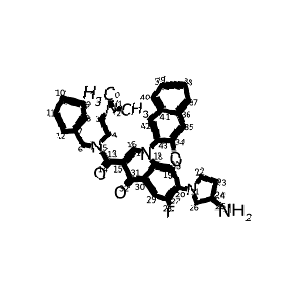 CN(C)CCN(Cc1ccccc1)C(=O)c1cn2c3c(c(N4CCC(N)C4)c(F)cc3c1=O)Oc1cc3ccccc3cc1-2